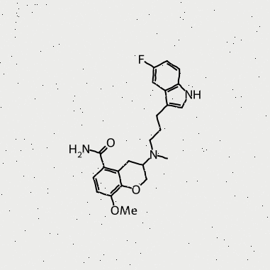 COc1ccc(C(N)=O)c2c1OCC(N(C)CCCc1c[nH]c3ccc(F)cc13)C2